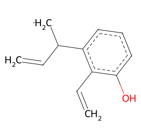 [CH2]C(C=C)c1cccc(O)c1C=C